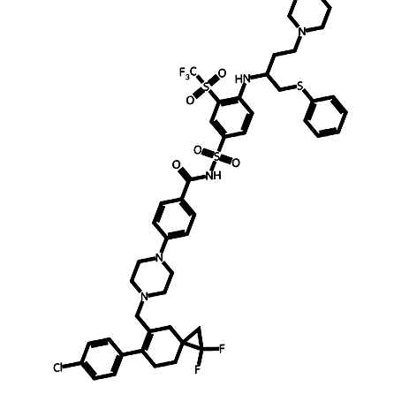 O=C(NS(=O)(=O)c1ccc(NC(CCN2CCOCC2)CSc2ccccc2)c(S(=O)(=O)C(F)(F)F)c1)c1ccc(N2CCN(CC3=C(c4ccc(Cl)cc4)CCC4(C3)CC4(F)F)CC2)cc1